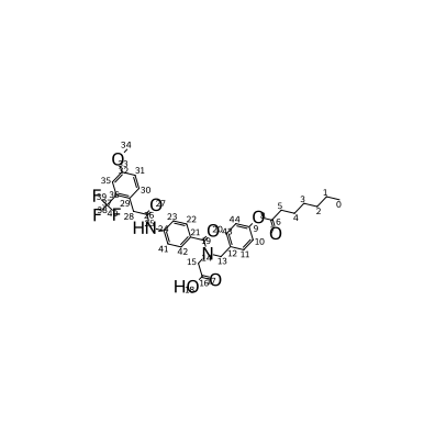 CCCCCCC(=O)Oc1ccc(CN(CC(=O)O)C(=O)c2ccc(NC(=O)Cc3ccc(OC)cc3C(F)(F)F)cc2)cc1